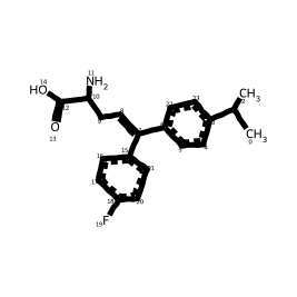 CC(C)c1ccc(C(=CCC(N)C(=O)O)c2ccc(F)cc2)cc1